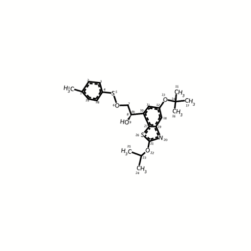 Cc1ccc(SOC[C@H](O)c2cc(OC(C)(C)C)cc3nc(OC(C)C)sc23)cc1